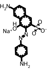 Nc1ccc(N=Nc2c(S(=O)(=O)[O-])cc3ccc(N)cc3c2O)cc1.[Na+]